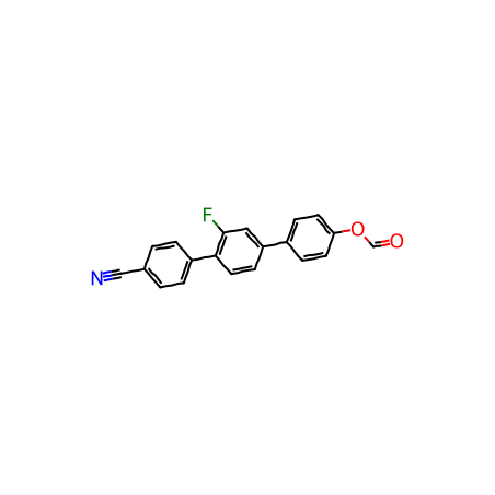 N#Cc1ccc(-c2ccc(-c3ccc(OC=O)cc3)cc2F)cc1